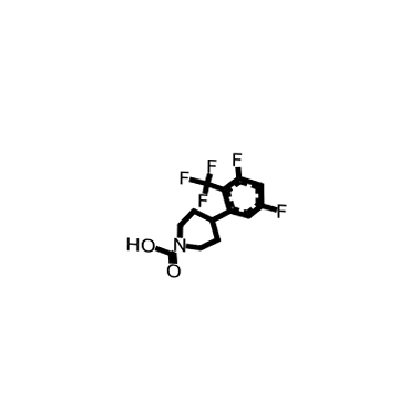 O=C(O)N1CCC(c2cc(F)cc(F)c2C(F)(F)F)CC1